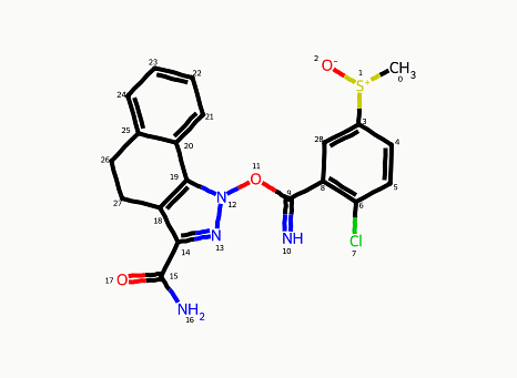 C[S+]([O-])c1ccc(Cl)c(C(=N)On2nc(C(N)=O)c3c2-c2ccccc2CC3)c1